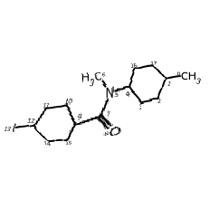 CC1CCC(N(C)C(=O)C2CCC(I)CC2)CC1